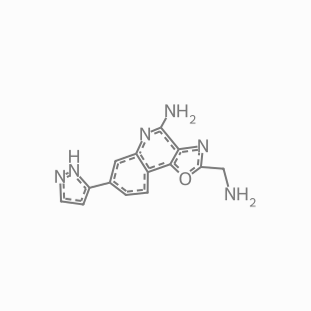 NCc1nc2c(N)nc3cc(-c4ccn[nH]4)ccc3c2o1